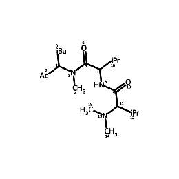 CCC(C)C(C(C)=O)N(C)C(=O)C(NC(=O)C(C(C)C)N(C)C)C(C)C